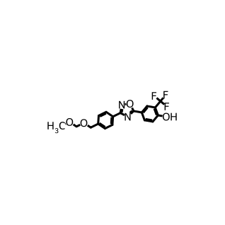 COCOCc1ccc(-c2noc(-c3ccc(O)c(C(F)(F)F)c3)n2)cc1